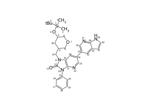 CC(C)(C)[Si](C)(C)OC1COCC(Cn2c(=O)n(-c3ccccc3)c3ncc(-c4cnc5[nH]ccc5c4)cc32)C1